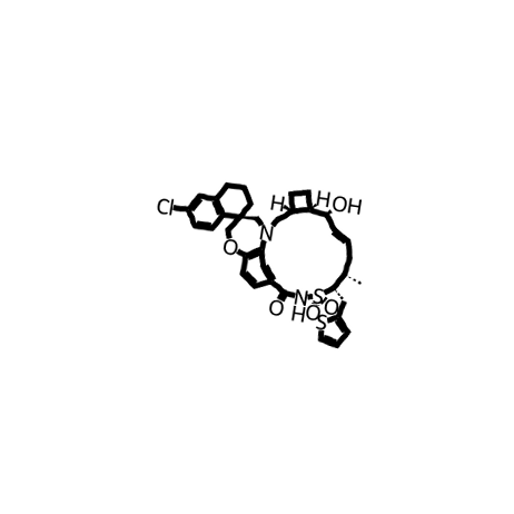 C[C@H]1C/C=C/[C@H](O)[C@@H]2CC[C@H]2CN2C[C@@]3(CCCc4cc(Cl)ccc43)COc3ccc(cc32)C(=O)NS(=O)(=O)[C@H]1Cc1cccs1